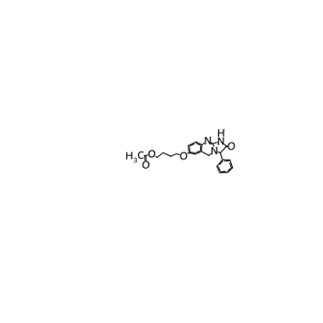 CC(=O)OCCCCOc1ccc2c(c1)CN1C(=N2)NC(=O)C1c1ccccc1